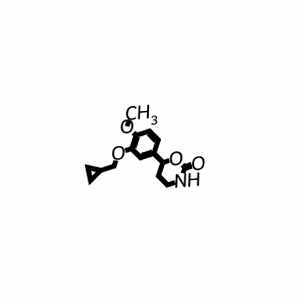 COc1ccc(C2CCNC(=O)O2)cc1OCC1CC1